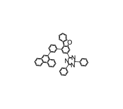 c1ccc(-c2nc(-c3ccccc3)nc(-c3cc(-c4cccc(-c5cc6ccccc6c6ccccc56)c4)c4c(c3)oc3ccccc34)n2)cc1